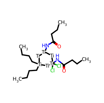 CCC[CH2][Ti]1([CH2]CCC)[Ti][Ti]([NH]C(=O)CCC)[Ti][Ti]([Cl])([Cl])([NH]C(=O)CCC)[Ti]1